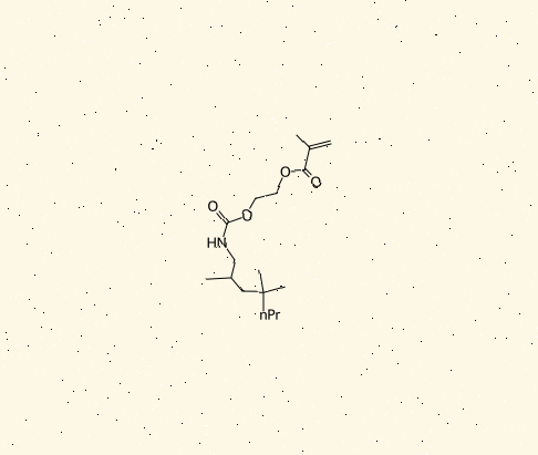 C=C(C)C(=O)OCCOC(=O)NCC(C)CC(C)(C)CCC